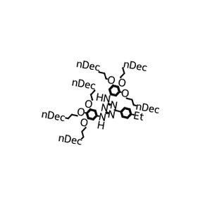 [CH2]Cc1ccc(-c2nc(Nc3cc(OCCCCCCCCCCCCC)c(OCCCCCCCCCCCCC)c(OCCCCCCCCCCCCC)c3)nc(Nc3cc(OCCCCCCCCCCCCC)c(OCCCCCCCCCCCCC)c(OCCCCCCCCCCCCC)c3)n2)cc1